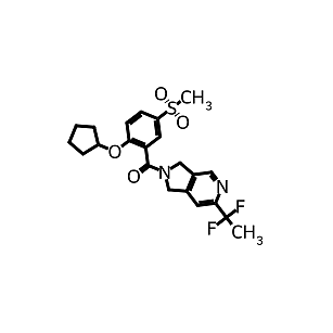 CC(F)(F)c1cc2c(cn1)CN(C(=O)c1cc(S(C)(=O)=O)ccc1OC1CCCC1)C2